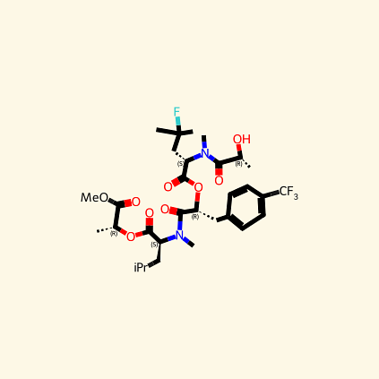 COC(=O)[C@@H](C)OC(=O)[C@H](CC(C)C)N(C)C(=O)[C@@H](Cc1ccc(C(F)(F)F)cc1)OC(=O)[C@H](CC(C)(C)F)N(C)C(=O)[C@@H](C)O